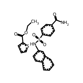 CCOC(=O)c1cccs1.NC(=O)c1ccc(S(=O)(=O)Nc2ccc3ccccc3c2)cc1